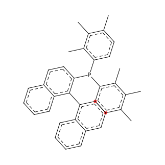 Cc1ccc(P(c2ccc(C)c(C)c2C)c2ccc3ccccc3c2-c2cccc3ccccc23)c(C)c1C